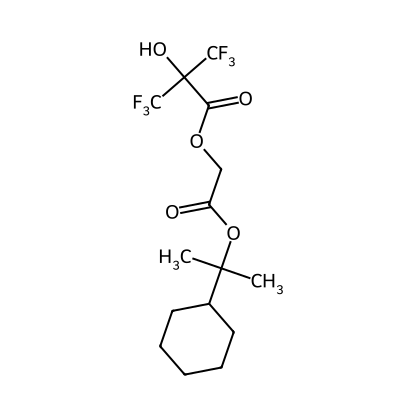 CC(C)(OC(=O)COC(=O)C(O)(C(F)(F)F)C(F)(F)F)C1CCCCC1